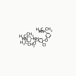 CNC(C)c1cccc(Oc2ccc(C(=O)NC3CC(C)(C)NC(C)(C)C3)cc2Cl)c1